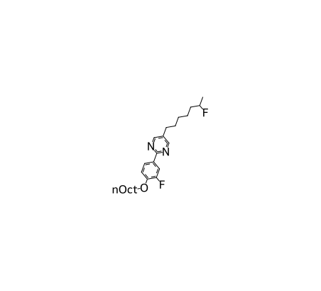 CCCCCCCCOc1ccc(-c2ncc(CCCCCC(C)F)cn2)cc1F